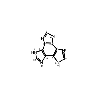 c1nc2c([nH]1)c1nc[nH]c1c1nc[nH]c21